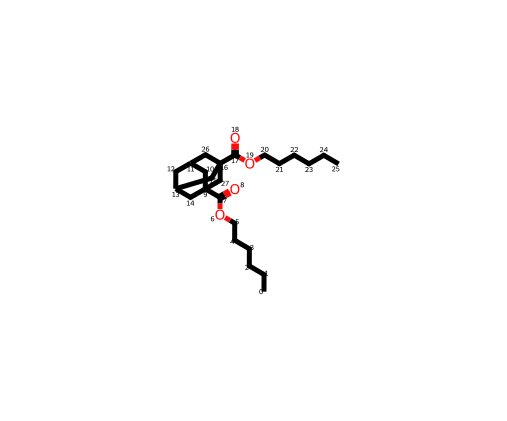 CCCCCCOC(=O)C12CC3CC(C1)CC(C(=O)OCCCCCC)(C3)C2